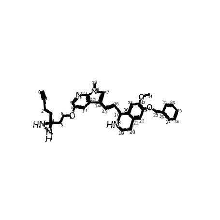 C#CCCC1(CCOc2cnc3c(c2)c(/C=C/C2NCCc4cc(OCc5ccccc5)c(OC)cc42)cn3C)NN1